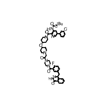 CC(C)(C)OC(=O)Nc1cc(-c2cccc(Cl)c2)cnc1C(=O)N1CCC(OC2CCN(CC(=O)N3CCN(C(=O)c4cc(Cc5n[nH]c(=O)c6ccccc56)ccc4F)CC3)CC2)CC1